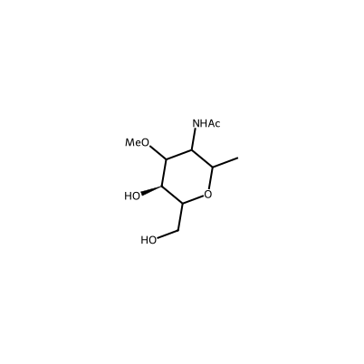 COC1C(NC(C)=O)C(C)OC(CO)[C@H]1O